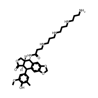 COc1cc(C2c3cc4c(cc3[C@@H](NC(=O)CCNCCCNCCCNCCCN)[C@H]3COC(=O)[C@H]23)OCO4)cc(C)c1O